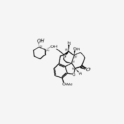 COc1ccc2c3c1O[C@H]1C(=O)CC[C@@]4(O)[C@@H](C2)N(C)CC[C@]314.O[C@@H]1CCCC[C@@H]1O